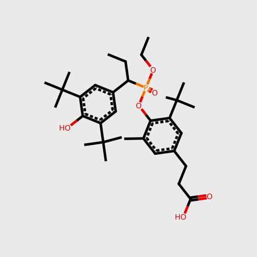 CCOP(=O)(Oc1c(C)cc(CCC(=O)O)cc1C(C)(C)C)C(CC)c1cc(C(C)(C)C)c(O)c(C(C)(C)C)c1